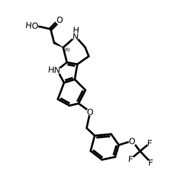 O=C(O)C[C@H]1NCCc2c1[nH]c1ccc(OCc3cccc(OC(F)(F)F)c3)cc21